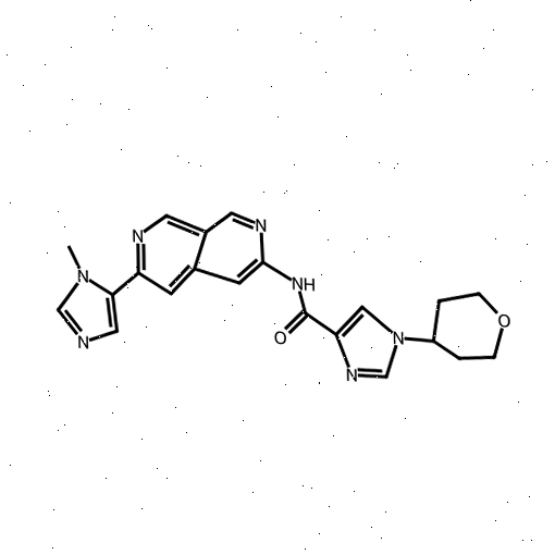 Cn1cncc1-c1cc2cc(NC(=O)c3cn(C4CCOCC4)cn3)ncc2cn1